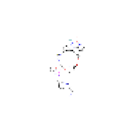 CO[C@@H](C)c1ncccc1-c1c2c3cc(ccc3n1CC(F)(F)F)-c1csc(n1)C[C@H](NC(=O)C(C(C)C)N(C)C(=O)N1C[C@@H]3CCCN(C(=O)/C=C/CN(C)C)[C@@H]3C1)C(=O)N1CCC[C@H](N1)C(=O)OCC(C)(C)C2